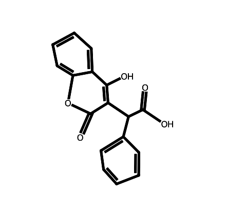 O=C(O)C(c1ccccc1)c1c(O)c2ccccc2oc1=O